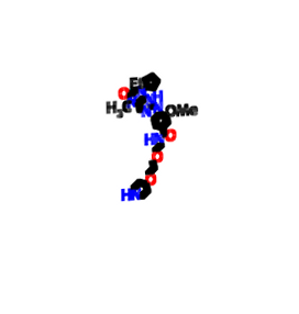 CC[C@@H]1C(=O)N(C)c2cnc(Nc3ccc(C(=O)NCCOCCCOC4CCNCC4)cc3OC)nc2N1C1CCCC1